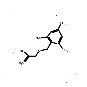 C=C(O)COCc1c(C)cc(C)cc1C